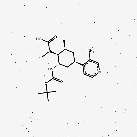 C[C@H]1C[C@@H](c2ccncc2N)C[C@H](NC(=O)OC(C)(C)C)[C@H]1N(C)C(=O)O